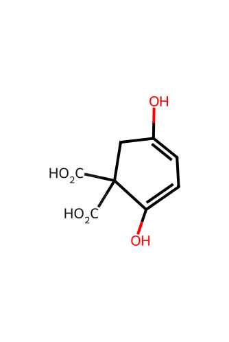 O=C(O)C1(C(=O)O)CC(O)=CC=C1O